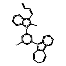 C=C/C=C\c1c(C)n(-c2cc(Br)cc(-n3c4c(c5ccccc53)C=CCC=C4)c2)c2ccccc12